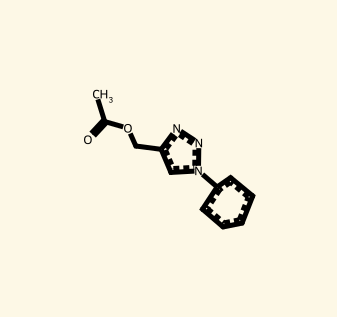 CC(=O)OCc1cn(-c2ccccc2)nn1